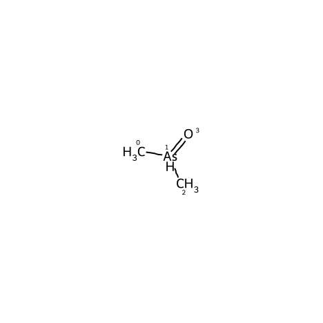 C[AsH](C)=O